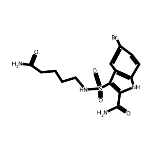 NC(=O)CCCCNS(=O)(=O)c1c(C(N)=O)[nH]c2ccc(Br)cc12